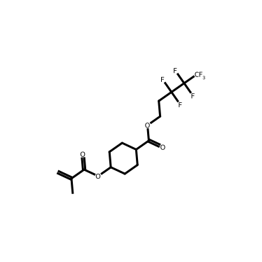 C=C(C)C(=O)OC1CCC(C(=O)OCCC(F)(F)C(F)(F)C(F)(F)F)CC1